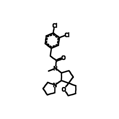 CN(C(=O)Cc1ccc(Cl)c(Cl)c1)C1CCC2(CCCO2)C1N1CCCC1